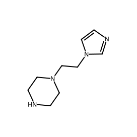 c1cn(CCN2CCNCC2)cn1